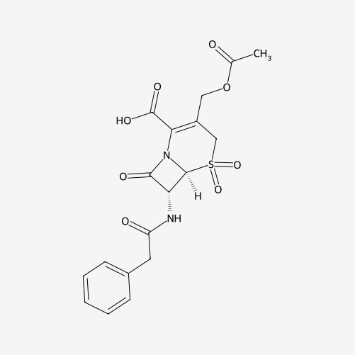 CC(=O)OCC1=C(C(=O)O)N2C(=O)[C@@H](NC(=O)Cc3ccccc3)[C@@H]2S(=O)(=O)C1